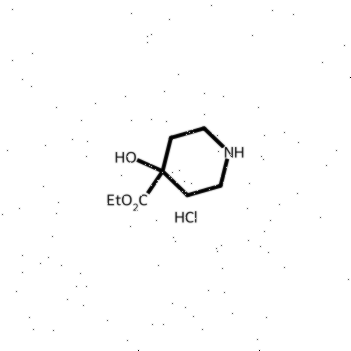 CCOC(=O)C1(O)CCNCC1.Cl